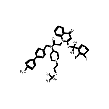 [2H]C([2H])([2H])OCCN1CCC(N(Cc2ccc(-c3ccc(C(F)(F)F)cc3)cc2)C(=O)Cn2c(SC([2H])([2H])c3cccc(F)c3F)cc(=O)c3ccccc32)CC1